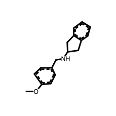 COc1ccc(CNC2Cc3ccccc3C2)cc1